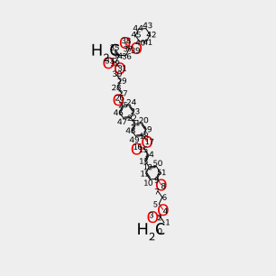 C=CC(=O)OCCCOc1ccc(/C=C/C(=O)Oc2ccc(-c3ccc(OCCCCOC(=O)C(=C)CC(=O)OC4CCCCC4)cc3)cc2)cc1